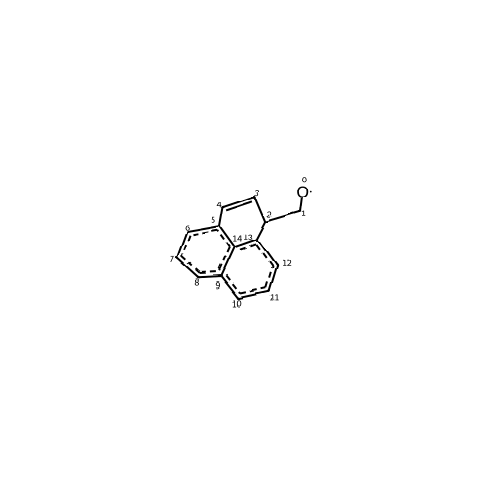 [O]CC1C=Cc2cccc3cccc1c23